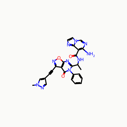 CC(NC(=O)c1c(N)ncn2ccnc12)c1nc2onc(C#Cc3cnn(C)c3)c2c(=O)n1-c1ccccc1